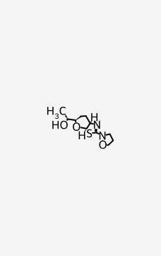 C[C@H](O)[C@H]1CC[C@H]2N=C(N3CCCO3)S[C@H]2O1